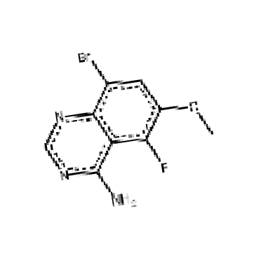 COc1cc(Br)c2ncnc(N)c2c1F